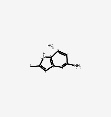 Cc1cc2cc(N)ccc2[nH]1.Cl